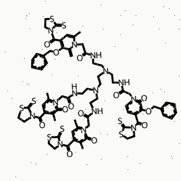 C=C1C(OCc2ccccc2)=C(C(=O)N2CCSC2=S)C=C(C)N1CC(=O)NCCN(CCNC(=O)Cn1ccc(C(=O)N2CCSC2=S)c(OCc2ccccc2)c1=O)CCN(CCNC(=O)Cn1c(C)cc(C(=O)N2CCSC2=S)c(C)c1=O)CCNC(=O)Cn1c(C)cc(C(=O)N2CCSC2=S)c(C)c1=O